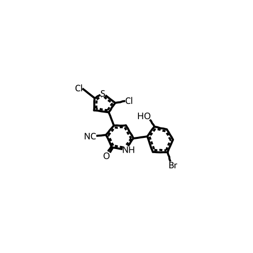 N#Cc1c(-c2cc(Cl)sc2Cl)cc(-c2cc(Br)ccc2O)[nH]c1=O